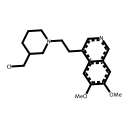 COc1cc2cncc(CCN3CCCC(CCl)C3)c2cc1OC